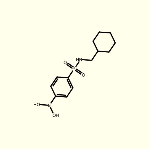 O=S(=O)(NCC1CCCCC1)c1ccc(B(O)O)cc1